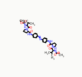 COC(=O)NC(C(=O)N1CCCC1C(=O)Nc1ccc(/N=N/c2ccc(NC(=O)C3CCCN3C(=O)C(NC(=O)OC)C(C)C)cc2)cc1)C(C)C